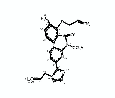 C=CCOc1c(C(=O)N(C(=O)O)c2cccc(-c3nncn3CC=C)n2)cccc1C(F)(F)F